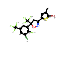 Cc1cc(C2=NOC(c3cc(C(F)(F)F)cc(Cl)c3F)(C(F)(F)F)C2)sc1Br